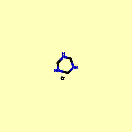 C1NCNCN1.[Cr]